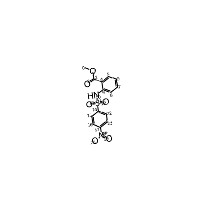 COC(=O)c1ccccc1NS(=O)(=O)c1ccc([N+](=O)[O-])cc1